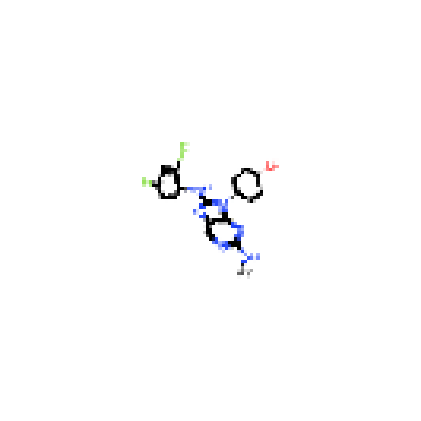 CC(C)Nc1ncc2nc(Nc3ccc(F)cc3F)n([C@H]3CC[C@@H](O)CC3)c2n1